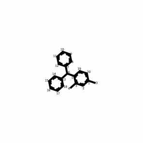 Cc1[c]c(C)c(C(c2ccccc2)c2ccccc2)cc1